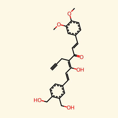 C#CC/C(C(=O)/C=C/c1ccc(OC)c(OC)c1)=C(O)\C=C\c1ccc(CO)c(CO)c1